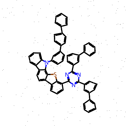 c1ccc(-c2ccc(-c3cccc(-n4c5ccccc5c5ccc6c7cccc(-c8nc(-c9cccc(-c%10ccccc%10)c9)nc(-c9cccc(-c%10ccccc%10)c9)n8)c7sc6c54)c3)cc2)cc1